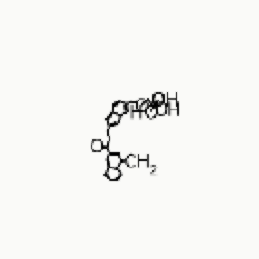 C=C1C=C(C(=O)CCC2=CC3C=C(COCC(O)(O)O)C=CC3=C2)C=C2C=CC=CC12